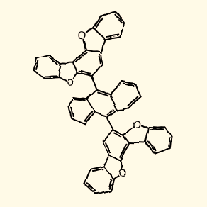 c1ccc2c(c1)oc1c2cc(-c2c3ccccc3c(-c3cc4c5ccccc5oc4c4c3oc3ccccc34)c3ccccc23)c2oc3ccccc3c21